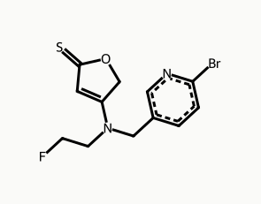 FCCN(Cc1ccc(Br)nc1)C1=CC(=S)OC1